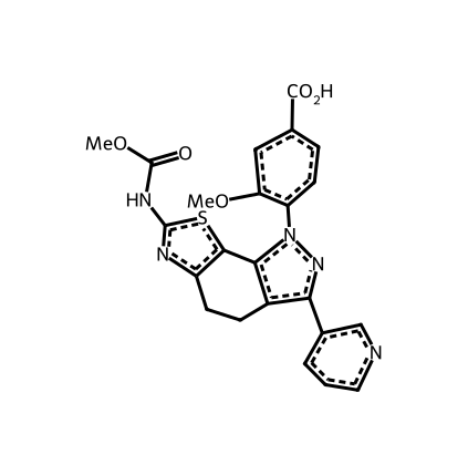 COC(=O)Nc1nc2c(s1)-c1c(c(-c3cccnc3)nn1-c1ccc(C(=O)O)cc1OC)CC2